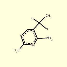 Cc1ncc(C(C)(F)F)c(N)n1